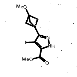 COC(=O)c1[nH]nc(C23CC(OC)(C2)C3)c1I